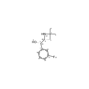 CC1(C)C[C@H]([C@@H](O)c2cccc(F)c2)N1